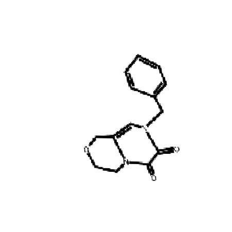 O=c1c(=O)n2c(cn1Cc1ccccc1)COCC2